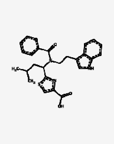 CC(C)CC(c1nc(C(=O)O)cs1)N(CCc1c[nH]c2ccccc12)C(=O)c1ccccc1